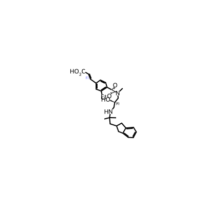 CCc1cc(/C=C/C(=O)O)ccc1S(=O)(=O)N(C)C[C@H](O)CNC(C)(C)CC1Cc2ccccc2C1